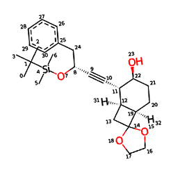 CC(C)(C)[Si](C)(C)O[C@@H](C#C[C@H]1[C@@H]2CC3(OCCO3)[C@@H]2CC[C@@H]1O)Cc1ccccc1